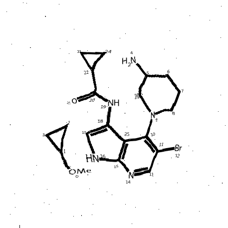 COC1CC1.NC1CCCN(c2c(Br)cnc3[nH]cc(NC(=O)C4CC4)c23)C1